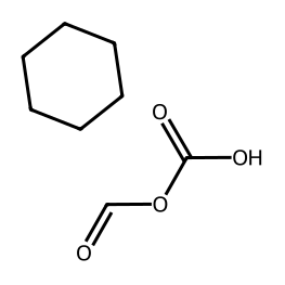 C1CCCCC1.O=COC(=O)O